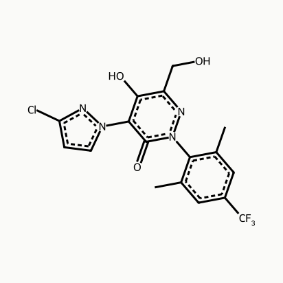 Cc1cc(C(F)(F)F)cc(C)c1-n1nc(CO)c(O)c(-n2ccc(Cl)n2)c1=O